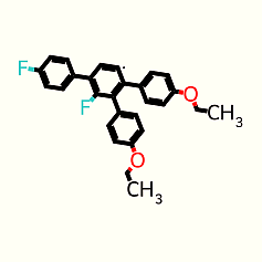 CCOc1ccc(-c2[c]cc(-c3ccc(F)cc3)c(F)c2-c2ccc(OCC)cc2)cc1